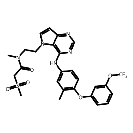 Cc1cc(Nc2ncnc3ccn(CCN(C)C(=O)CS(C)(=O)=O)c23)ccc1Oc1cccc(OC(F)(F)F)c1